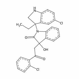 CCC1(N2C(=O)C(O)(CC(=O)c3ccccc3Cl)c3ccccc32)CNc2ccc(Cl)cc21